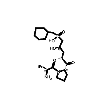 CC(C)[C@H](N)C(=O)N1CCC[C@H]1C(=O)NC[C@@H](O)CP(=O)(O)CC1CCCCC1